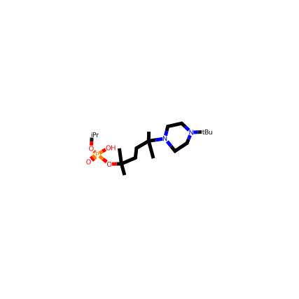 CC(C)OP(=O)(O)OC(C)(C)CCC(C)(C)N1CCN(C(C)(C)C)CC1